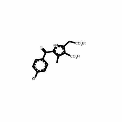 CCOC(=O)Cc1[nH]c(C(=O)c2ccc(Cl)cc2)c(C)c1C(=O)O